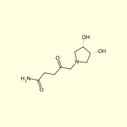 NC(=O)CCC(=O)CN1C[C@@H](O)[C@@H](O)C1